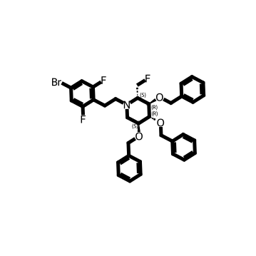 FC[C@@H]1[C@@H](OCc2ccccc2)[C@H](OCc2ccccc2)[C@@H](OCc2ccccc2)CN1CCc1c(F)cc(Br)cc1F